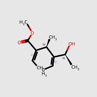 C/C=C(/C(=O)OC)[C@@H](C)/C(=C\C)[C@H](C)O